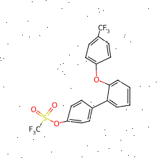 O=S(=O)(Oc1ccc(-c2ccccc2Oc2ccc(C(F)(F)F)cc2)cc1)C(F)(F)F